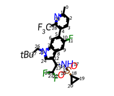 Cc1ccc(-c2cc3c(cc2F)c([C@H](NS(=O)(=O)C2CC2)C(F)F)cn3CC(C)(C)C)c(C(F)(F)F)n1